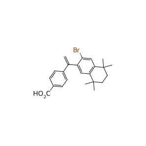 C=C(c1ccc(C(=O)O)cc1)c1cc2c(cc1Br)C(C)(C)CCC2(C)C